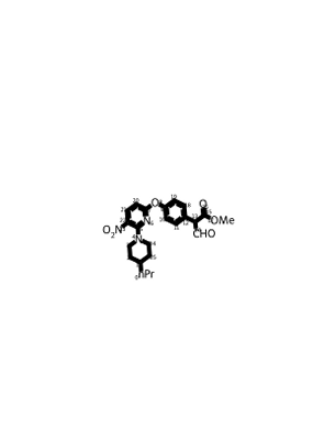 CCCC1CCN(c2nc(Oc3ccc(C(C=O)C(=O)OC)cc3)ccc2[N+](=O)[O-])CC1